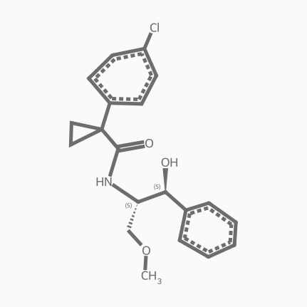 COC[C@H](NC(=O)C1(c2ccc(Cl)cc2)CC1)[C@@H](O)c1ccccc1